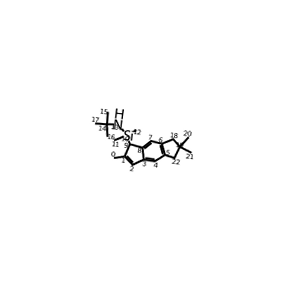 CC1=Cc2cc3c(cc2C1[Si](C)(C)NC(C)(C)C)CC(C)(C)C3